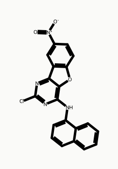 O=[N+]([O-])c1ccc2oc3c(Nc4cccc5ccccc45)nc(Cl)nc3c2c1